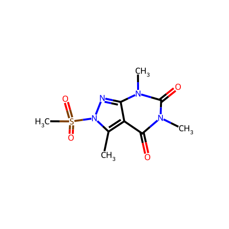 Cc1c2c(=O)n(C)c(=O)n(C)c2nn1S(C)(=O)=O